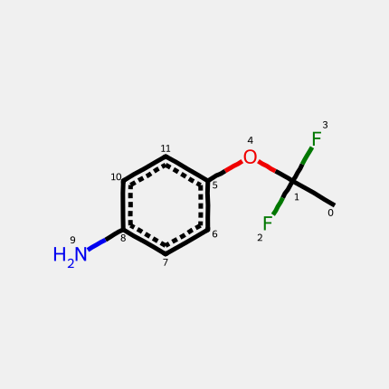 CC(F)(F)Oc1ccc(N)cc1